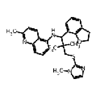 Cc1ccc2c(NC(c3cccc4c3OCC4)C(C)(CSc3nccn3C)C(F)(F)F)cccc2n1